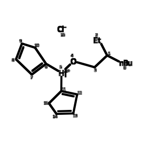 CCCCC(CC)C[O][Hf+]([C]1=CC=CC1)[C]1=CC=CC1.[Cl-]